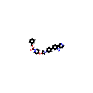 Cn1c2ccncc2c2ccc(-c3ccc(N4CC(OC5CCN(C(=O)OCc6ccccc6)CC5)C4)cc3)cc21